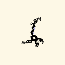 COC(=O)/C=C/C=C/c1cc(N)c(O)c(OC)c1